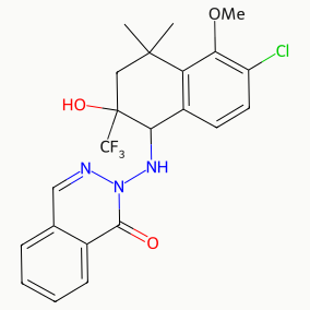 COc1c(Cl)ccc2c1C(C)(C)CC(O)(C(F)(F)F)C2Nn1ncc2ccccc2c1=O